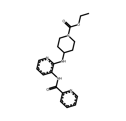 CCOC(=O)N1CCC(Nc2ncccc2NC(=O)c2ccccn2)CC1